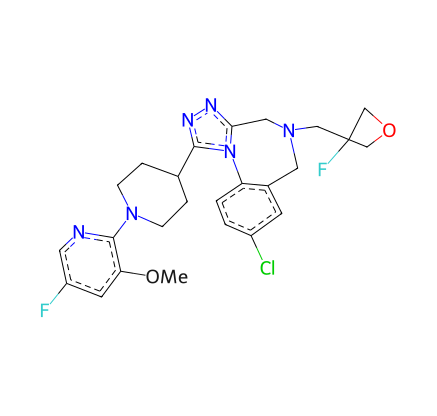 COc1cc(F)cnc1N1CCC(c2nnc3n2-c2ccc(Cl)cc2CN(CC2(F)COC2)C3)CC1